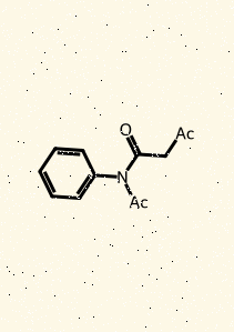 CC(=O)CC(=O)N(C(C)=O)c1ccccc1